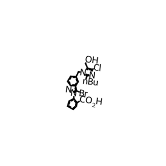 CCCCc1nc(Cl)c(CO)n1Cc1ccc2nn(-c3ccccc3C(=O)O)c(Br)c2c1